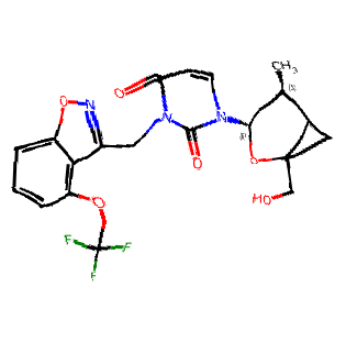 C[C@H]1C2CC2(CO)O[C@H]1n1ccc(=O)n(Cc2noc3cccc(OC(F)(F)F)c23)c1=O